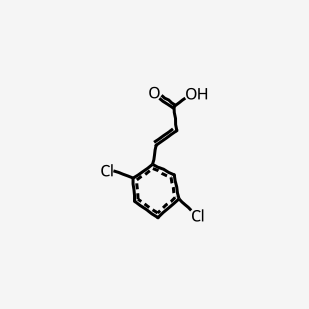 O=C(O)/C=C/c1cc(Cl)ccc1Cl